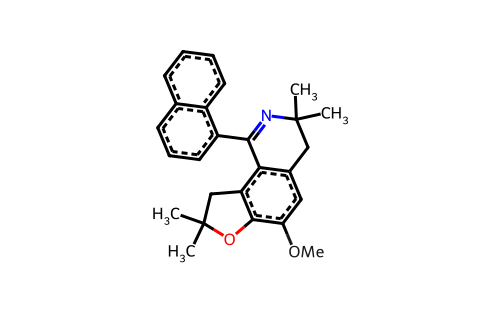 COc1cc2c(c3c1OC(C)(C)C3)C(c1cccc3ccccc13)=NC(C)(C)C2